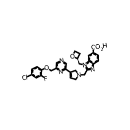 O=C(O)c1ccc2nc(CN3CC=C(c4cncc(COc5ccc(Cl)cc5F)n4)C3)n(C[C@@H]3CCO3)c2c1